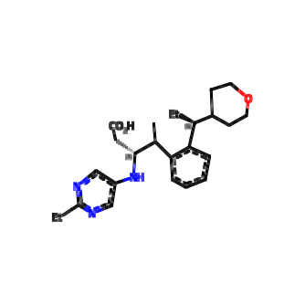 CCc1ncc(N[C@H](CC(=O)O)C(C)c2ccccc2[C@@H](CC)C2CCOCC2)cn1